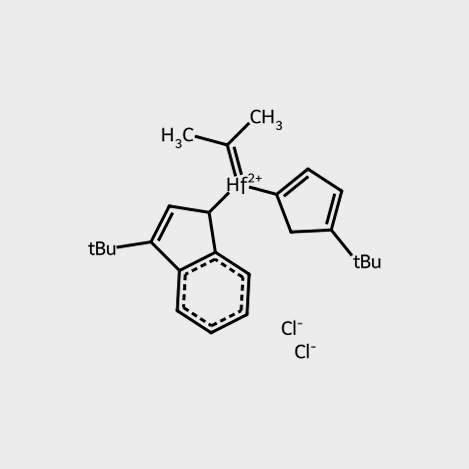 C[C](C)=[Hf+2]([C]1=CC=C(C(C)(C)C)C1)[CH]1C=C(C(C)(C)C)c2ccccc21.[Cl-].[Cl-]